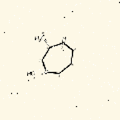 C[C@H]1COCCCN1.Cl